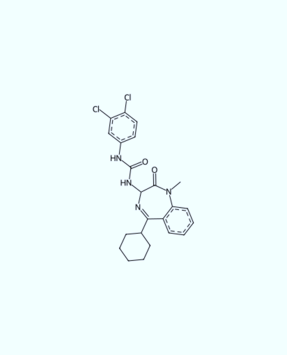 CN1C(=O)C(NC(=O)Nc2ccc(Cl)c(Cl)c2)N=C(C2CCCCC2)c2ccccc21